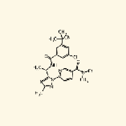 CCN(C)C(=O)c1ccc(-n2nc(C)nc2C(C)NC(=O)c2cc(Cl)cc(C(C)(C)C#N)c2)nc1